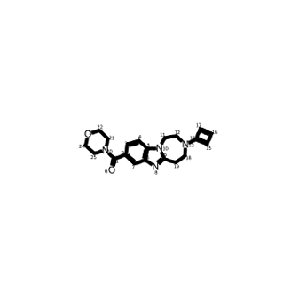 O=C(c1ccc2c(c1)nc1n2CCN(C2=CC=C2)CC1)N1CCOCC1